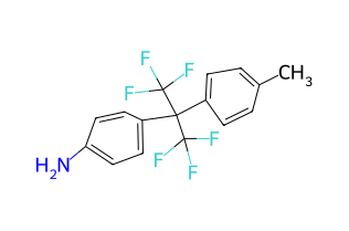 Cc1ccc(C(c2ccc(N)cc2)(C(F)(F)F)C(F)(F)F)cc1